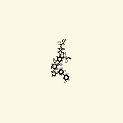 C=CC(=O)Nc1cc(Nc2cc(N3OCC[C@@H]3c3cccc(-c4cccc(F)c4)c3)ncn2)c(OC)cc1N1CC2(CN(C(=O)COC)C2)C1